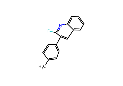 Cc1ccc(-c2cc3ccccc3nc2F)cc1